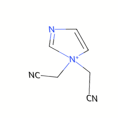 N#CC[N+]1(CC#N)C=CN=C1